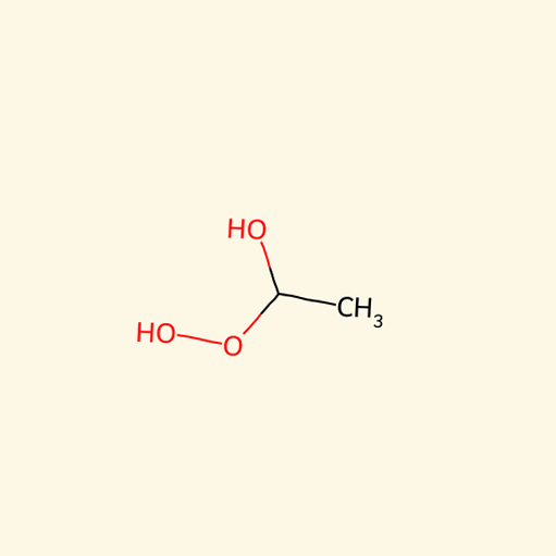 CC(O)OO